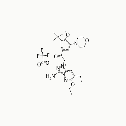 CCOc1nn2c(N)n[n+](CC(=O)c3cc(N4CCOCC4)c(OC)c(C(C)(C)C)c3)c2cc1CC.O=C([O-])C(F)(F)F